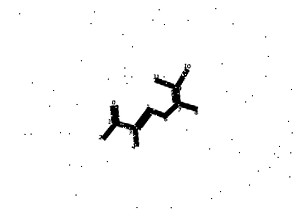 [CH]=C(C)C(C)=CCC(C)=C(C)C